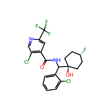 O=C(NC(c1ccccc1Cl)[C@]1(O)CC[C@H](F)CC1)c1cc(C(F)(F)F)ncc1Cl